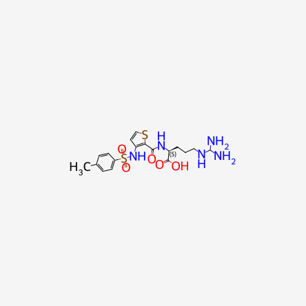 Cc1ccc(S(=O)(=O)Nc2ccsc2C(=O)N[C@@H](CCCNC(N)N)C(=O)O)cc1